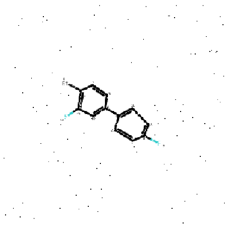 CCc1ccc(-c2ccc(F)cc2)cc1F